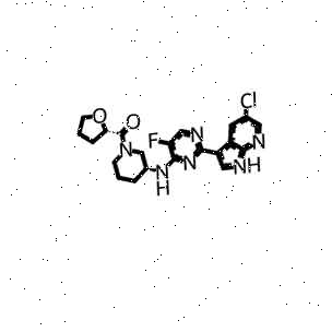 O=C([C@@H]1CCCO1)N1CCC[C@H](Nc2nc(-c3c[nH]c4ncc(Cl)cc34)ncc2F)C1